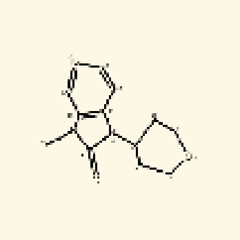 Cn1c(=O)n(C2CCOCC2)c2ccncc21